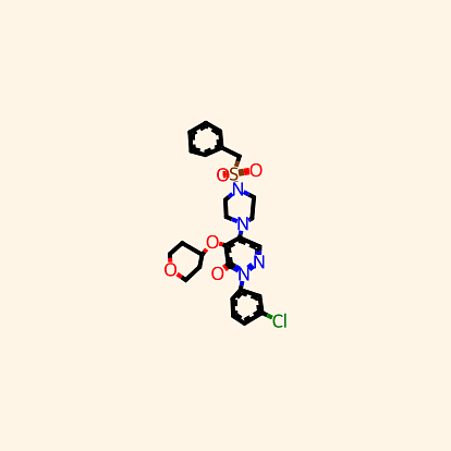 O=c1c(OC2CCOCC2)c(N2CCN(S(=O)(=O)Cc3ccccc3)CC2)cnn1-c1cccc(Cl)c1